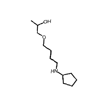 CC(O)COCCCCNC1CCCC1